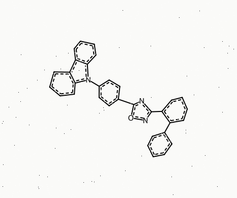 c1ccc(-c2ccccc2-c2noc(-c3ccc(-n4c5ccccc5c5ccccc54)cc3)n2)cc1